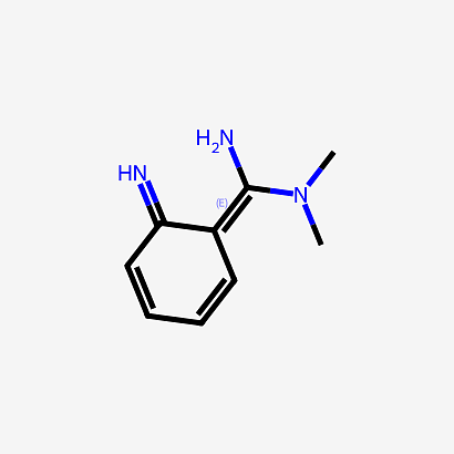 CN(C)/C(N)=C1\C=CC=CC1=N